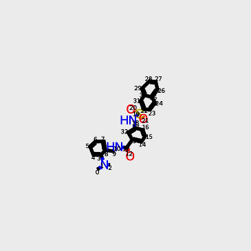 CN(C)c1ccccc1CNC(=O)c1cccc(NS(=O)(=O)c2ccc3ccccc3c2)c1